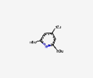 [CH2]CCCc1cc(CCCC)nc(CCCC)c1